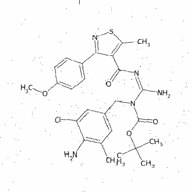 COc1ccc(-c2nsc(C)c2C(=O)N=C(N)N(Cc2cc(C)c(N)c(Cl)c2)C(=O)OC(C)(C)C)cc1